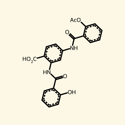 CC(=O)Oc1ccccc1C(=O)Nc1ccc(C(=O)O)c(NC(=O)c2ccccc2O)c1